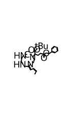 C\C=C/C=C1CNCCNCCN(C(CCC(=O)OCc2ccccc2)C(=O)OC(C)(C)C)C/C=N/1